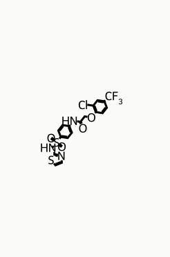 O=C(COc1ccc(C(F)(F)F)cc1Cl)Nc1ccc(S(=O)(=O)Nc2nccs2)cc1